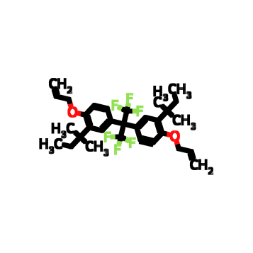 C=CCOc1c#cc(C(c2ccc(OCC=C)c(C(C)(C)CC)c2)(C(F)(F)F)C(F)(F)F)cc1C(C)(C)CC